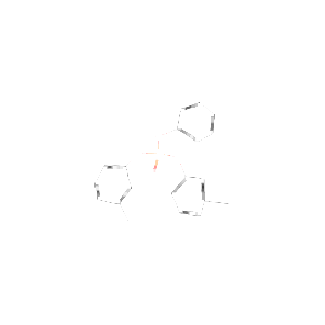 Cc1cccc(OP(=O)(Oc2ccccc2)Oc2cccc(C)c2)c1